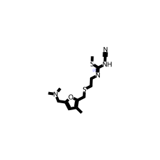 CS/C(=N\CCSCc1oc(CN(C)C)cc1C)NC#N